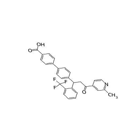 Cc1cc(C(=O)CC(c2ccc(-c3ccc(C(=O)O)cc3)cc2)c2ccccc2C(F)(F)F)ccn1